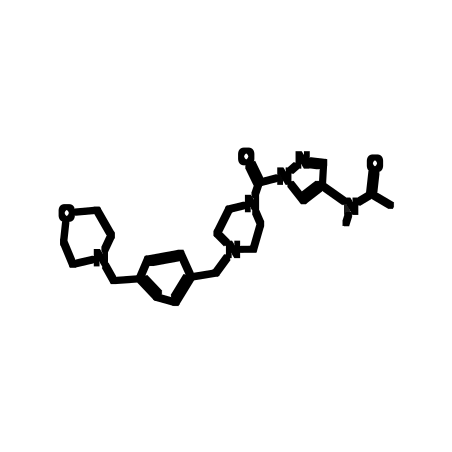 CC(=O)N(C)c1cnn(C(=O)N2CCN(Cc3ccc(CN4CCOCC4)cc3)CC2)c1